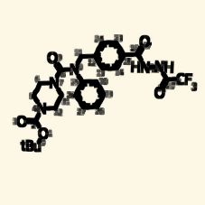 CC(C)(C)OC(=O)N1CCN(C(=O)N(Cc2ccc(C(=O)NNC(=O)C(F)(F)F)cc2)c2ccccc2)CC1